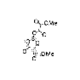 COC(=O)C(=O)OB1OC(=O)C(C(=O)OC)O1